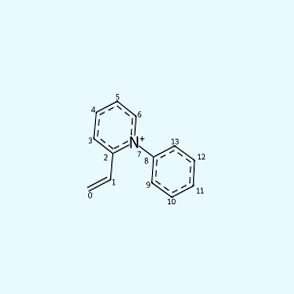 C=Cc1cccc[n+]1-c1ccccc1